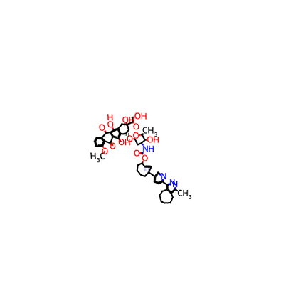 COc1cccc2c1C(=O)c1c(O)c3c(c(O)c1C2=O)C[C@@](O)(C(=O)CO)C[C@@H]3OC1CC(NC(=O)OC2/C=C/C(c3ccc(-c4nnc(C)c5c4CCCCCC5)nc3)CCCC2)C(O)C(C)O1